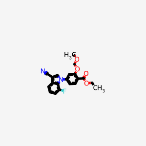 CCOC(=O)c1ccc(-n2cc(C#N)c3cccc(F)c32)cc1OCOC